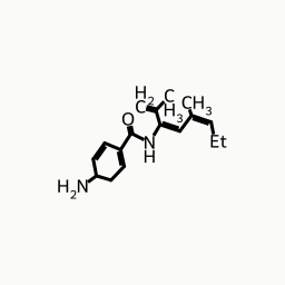 C=C(C)/C(=C\C(C)=C/CC)NC(=O)C1=CCC(N)C=C1